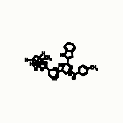 Cc1ccc(C(=O)NC[C@H](NC(=O)c2cc3ccccc3[nH]2)C(=O)N[C@@H](CC(C)C)B2O[C@@H]3C[C@@H]4C[C@@H](C4(C)C)[C@]3(C)O2)cc1